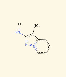 CCNc1nn2ccccc2c1[N+](=O)[O-]